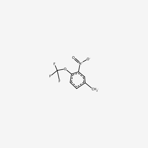 [CH2]c1ccc(OC(F)(F)F)c([N+](=O)[O-])c1